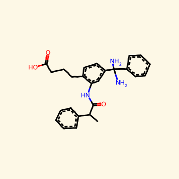 CC(C(=O)Nc1cc(C(N)(N)c2ccccc2)ccc1CCCC(=O)O)c1ccccc1